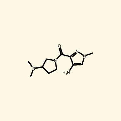 CN(C)C1CCN(C(=O)c2nn(C)cc2N)C1